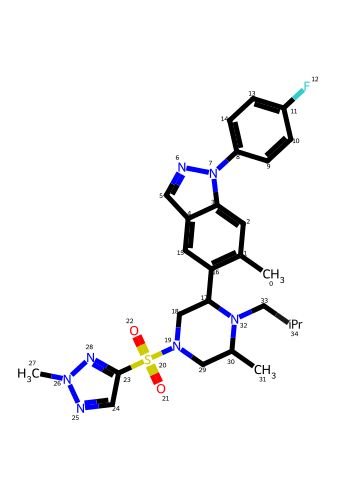 Cc1cc2c(cnn2-c2ccc(F)cc2)cc1C1CN(S(=O)(=O)c2cnn(C)n2)CC(C)N1CC(C)C